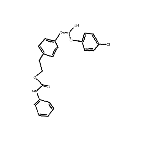 O=C(Nc1ccccc1)OCCc1ccc(OB(O)Oc2ccc(Cl)cc2)cc1